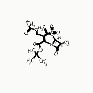 C=C1C(COC(C)=O)=C(C(=O)OC(C)(C)C)N2C(=O)[C@H](Cl)[C@@H]2S1(=O)=O